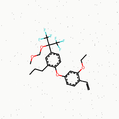 C=Cc1ccc(Oc2ccc(C(OCOC)(C(F)(F)F)C(F)(F)F)cc2CCC)cc1OCC